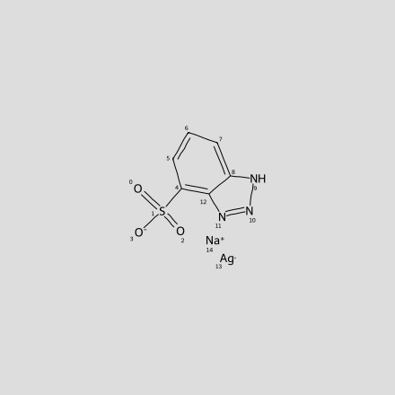 O=S(=O)([O-])c1cccc2[nH]nnc12.[Ag].[Na+]